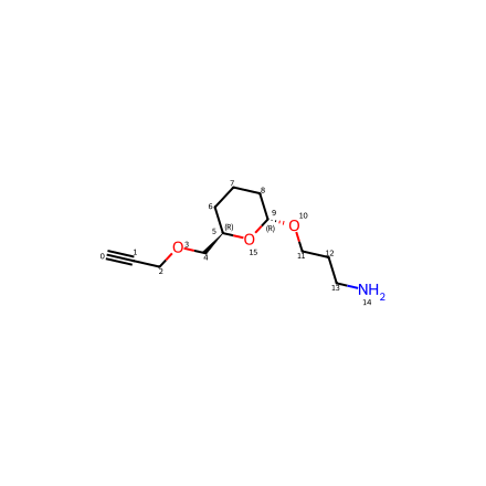 C#CCOC[C@H]1CCC[C@H](OCCCN)O1